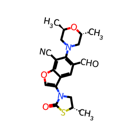 C[C@@H]1CN(c2c(C=O)cc3c(N4C[C@H](C)SC4=O)coc3c2C#N)C[C@@H](C)O1